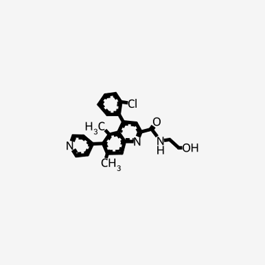 Cc1cc2nc(C(=O)NCCO)cc(-c3ccccc3Cl)c2c(C)c1-c1ccncc1